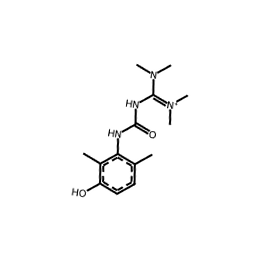 Cc1ccc(O)c(C)c1NC(=O)NC(N(C)C)=[N+](C)C